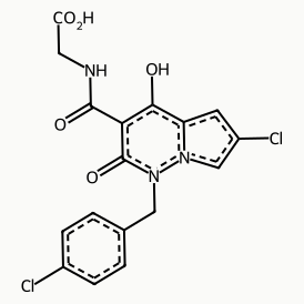 O=C(O)CNC(=O)c1c(O)c2cc(Cl)cn2n(Cc2ccc(Cl)cc2)c1=O